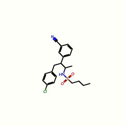 CCCCS(=O)(=O)NC(C)C(Cc1ccc(Cl)cc1)c1cccc(C#N)c1